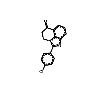 O=C1CCn2c(-c3ccc(Cl)cc3)nc3cccc1c32